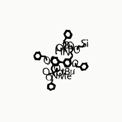 CNC(Cc1cc(-c2ccc(OCc3ccccc3)c(CC(NC(=O)OCc3ccccc3)C(=O)OCC[Si](C)(C)C)c2)ccc1OCc1ccccc1)(C(=O)OCc1ccccc1)C(=O)OC(C)(C)C